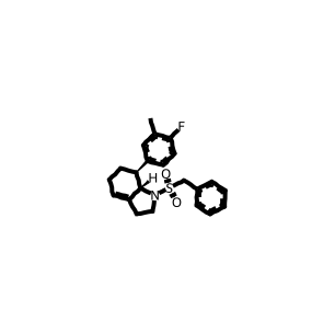 Cc1cc([C@@H]2CCC=C3CCN(S(=O)(=O)Cc4ccccc4)[C@H]32)ccc1F